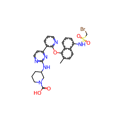 Cc1ccc2c(NS(=O)(=O)CBr)cccc2c1Oc1ncccc1-c1ccnc(NC2CCCN(C(=O)O)C2)n1